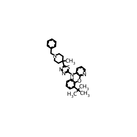 CC(C)(C)c1ccccc1Oc1ncccc1Nc1nnc(C2(C)CCN(Cc3ccccc3)CC2)s1